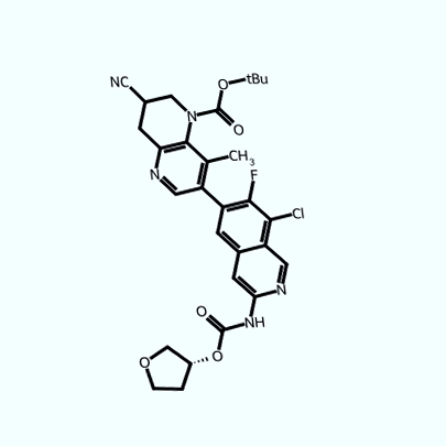 Cc1c(-c2cc3cc(NC(=O)O[C@@H]4CCOC4)ncc3c(Cl)c2F)cnc2c1N(C(=O)OC(C)(C)C)CC(C#N)C2